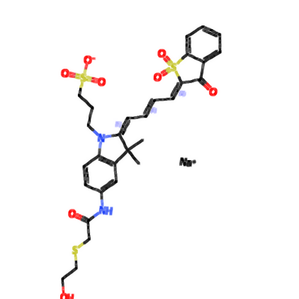 CC1(C)\C(=C/C=C/C=C2/C(=O)c3ccccc3S2(=O)=O)N(CCCS(=O)(=O)[O-])c2ccc(NC(=O)CSCCO)cc21.[Na+]